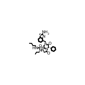 CCCCNC(=O)N(CCC)N1CC(=O)N2[C@@H](c3ccccc3)C(=O)N(Cc3cccc4sc(N)nc34)C[C@@H]21